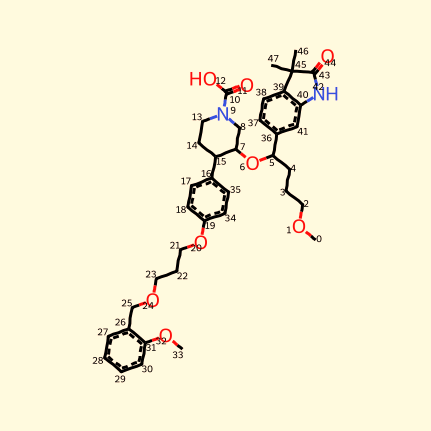 COCCCC(OC1CN(C(=O)O)CCC1c1ccc(OCCCOCc2ccccc2OC)cc1)c1ccc2c(c1)NC(=O)C2(C)C